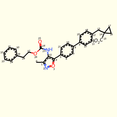 Cc1noc(-c2ccc(-c3ccc(CC4(C(=O)O)CC4)cc3)cc2)c1NC(=O)OCCc1ccccc1